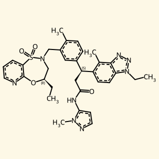 CC[C@@H]1CN(Cc2cc([C@H](CC(=O)Nc3ccnn3C)c3ccc4c(nnn4CC)c3C)ccc2C)S(=O)(=O)c2cccnc2O1